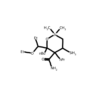 CCCCC1(C(CC)OCC)O[Si](C)(C)CC([SiH3])C1(CCC)C(N)=O